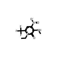 CCn1c(C(F)(F)F)cc([N+](=O)[O-])c(NC)c1=O